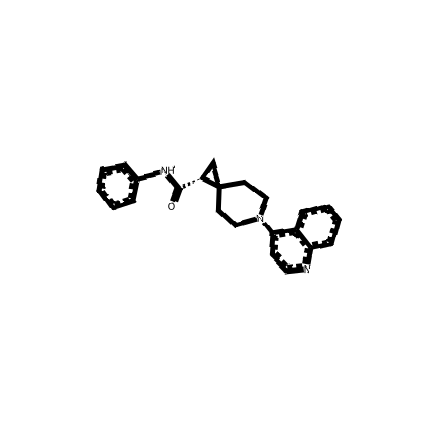 O=C(Nc1ccccc1)[C@@H]1CC12CCN(c1ccnc3ccccc13)CC2